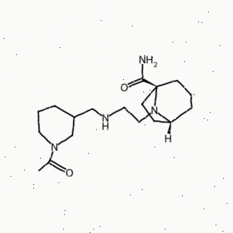 CC(=O)N1CCCC(CNCCN2[C@@H]3C[CH]C[C@@]2(C(N)=O)CC3)C1